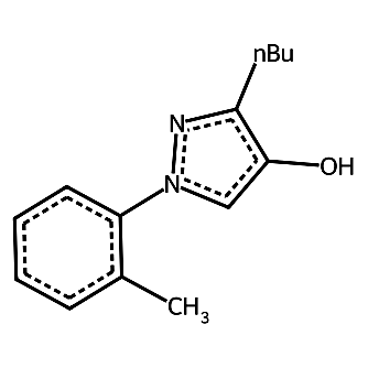 CCCCc1nn(-c2ccccc2C)cc1O